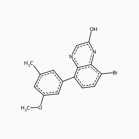 COc1cc(C)cc(-c2ccc(Br)c3nc(O)cnc23)c1